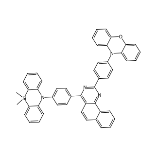 C[Si]1(C)c2ccccc2N(c2ccc(-c3nc(-c4ccc(N5c6ccccc6Oc6ccccc65)cc4)nc4c3ccc3ccccc34)cc2)c2ccccc21